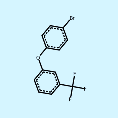 FC(F)(F)c1cc[c]c(Oc2ccc(Br)cc2)c1